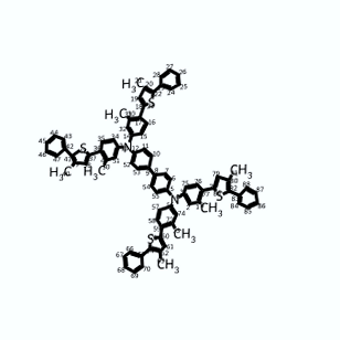 Cc1cc(N(c2ccc(-c3ccc(N(c4ccc(-c5cc(C)c(-c6ccccc6)s5)c(C)c4)c4ccc(-c5cc(C)c(-c6ccccc6)s5)c(C)c4)cc3)cc2)c2ccc(-c3cc(C)c(-c4ccccc4)s3)c(C)c2)ccc1-c1cc(C)c(-c2ccccc2)s1